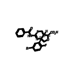 O=C(NC1=N[C@@]2(c3cc(Br)ccc3F)CO[C@H](C(=O)O)[C@H]2CS1)c1ccccc1